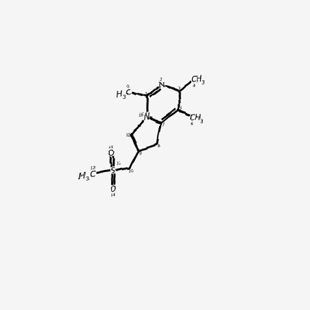 CC1=NC(C)C(C)=C2CC(CS(C)(=O)=O)CN12